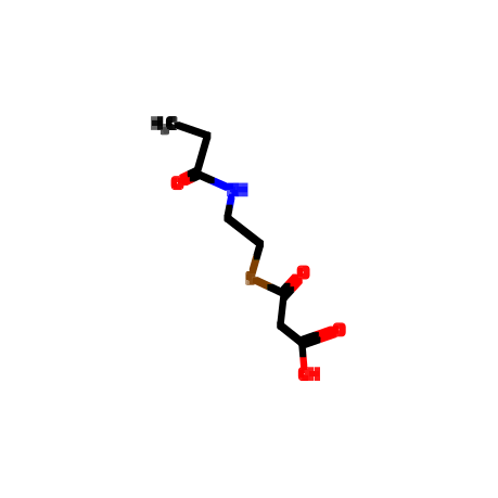 CCC(=O)NCCSC(=O)CC(=O)O